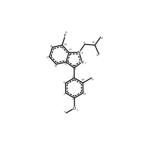 COc1ccc(-c2nn(CC(C)C)c3c(F)cccc23)c(C)c1